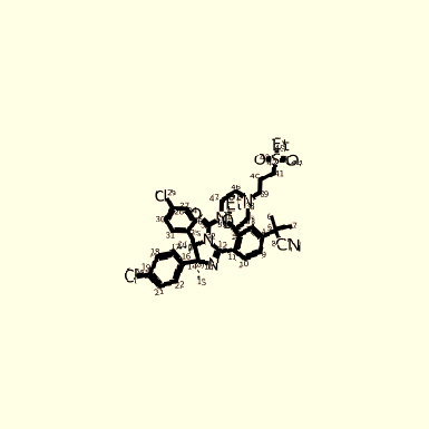 CCOc1cc(C(C)(C)C#N)ccc1C1=N[C@@](C)(c2ccc(Cl)cc2)[C@@](C)(c2ccc(Cl)cc2)N1C(=O)N1CCN(CCCS(=O)(=O)CC)CC1